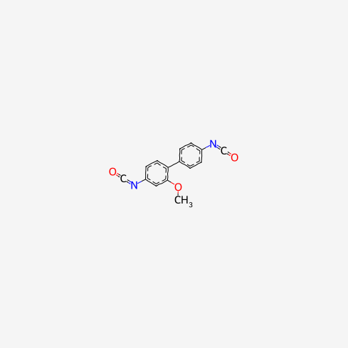 COc1cc(N=C=O)ccc1-c1ccc(N=C=O)cc1